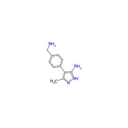 Cc1n[nH]c(N)c1-c1ccc(CN)cc1